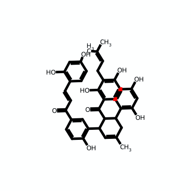 CC(C)=CCc1c(O)ccc(C(=O)C2C(c3cc(C(=O)/C=C/c4ccc(O)cc4O)ccc3O)C=C(C)CC2c2ccc(O)cc2O)c1O